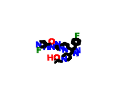 C[C@@H](O)CN1CCC(c2c(-c3ccc4nc(NC(=O)c5ccnc(F)c5)cn4n3)c(-c3ccc(F)cc3)nn2C)CC1